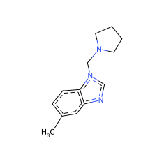 Cc1ccc2c(c1)ncn2CN1CCCC1